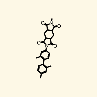 Cc1ccc(-c2ccc(N3C(=O)C4CC5C(=O)N(C)C(=O)C5CC4C3=O)cc2C)c(C)c1